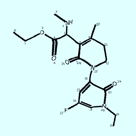 CCOC(=O)C(NC)C1=C(C)CCN(c2cc(F)cn(CC)c2=O)C1=O